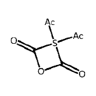 CC(=O)S1(C(C)=O)C(=O)OC1=O